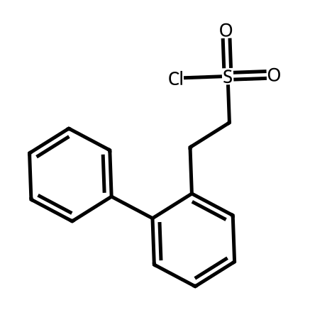 O=S(=O)(Cl)CCc1ccccc1-c1ccccc1